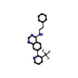 FC(F)(F)c1cccnc1-c1ccc2c(NCCc3ccccc3)ncnc2c1